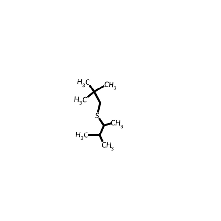 CC(C)C(C)SCC(C)(C)C